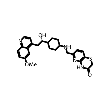 COc1ccc2nccc(C[C@H](O)C3CCC(NCc4ccc5c(n4)NC(=O)CS5)CC3)c2c1